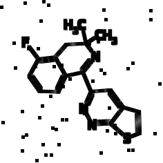 CC1(C)Cc2c(F)cccc2C(c2cc3ccsc3nn2)=N1